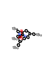 CC(C)(C)c1ccc(-c2cc3cc(c2)-c2cccc4c5cccc6c5n(c24)-c2c(c4c(=O)c5cc(C(C)(C)C)ccc5n5c7ccc(C(C)(C)C)cc7c(=O)c(c2C(C)(C)c2ccc(cc2)-c2cc(-c7ccc(C(C)(C)C)cc7)cc-6c2)c45)C(C)(C)c2ccc-3cc2)cc1